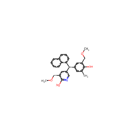 COCc1cc(C(c2cc(C)c(O)c(COC)c2)c2cccc3ccccc23)cnc1O